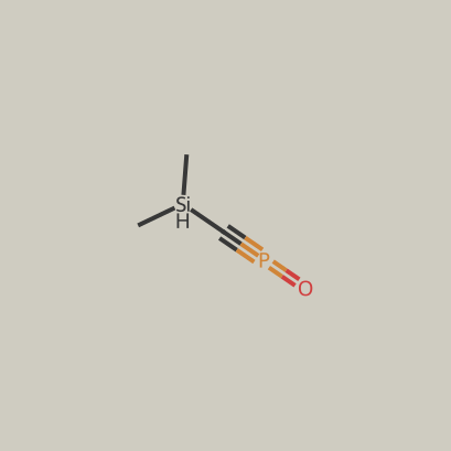 C[SiH](C)C#P=O